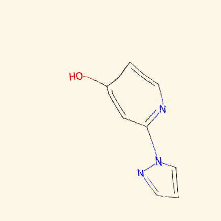 Oc1ccnc(-n2cccn2)c1